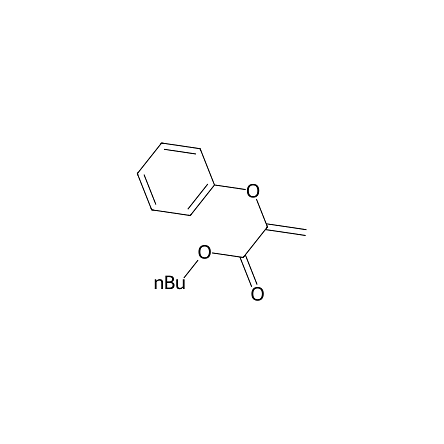 C=C(Oc1ccccc1)C(=O)OCCCC